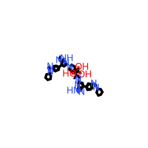 OCC1(C(O)(CO)C2CN(c3cc(-c4ccc5c(c4)ncn5C4CCCCC4)c4nc[nH]c4n3)C2)CCN(c2cc(-c3ccc4c(c3)ncn4C3CCCCC3)c3nc[nH]c3n2)CC1